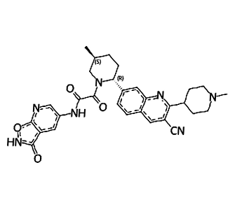 C[C@H]1CC[C@H](c2ccc3cc(C#N)c(C4CCN(C)CC4)nc3c2)N(C(=O)C(=O)Nc2cnc3o[nH]c(=O)c3c2)C1